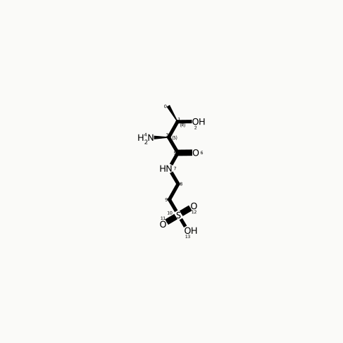 C[C@@H](O)[C@H](N)C(=O)NCCS(=O)(=O)O